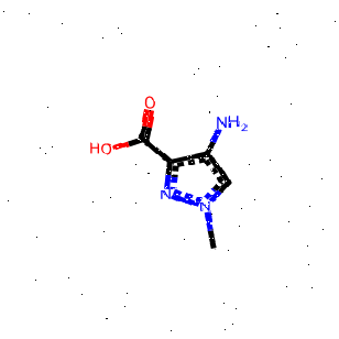 Cn1cc(N)c(C(=O)O)n1